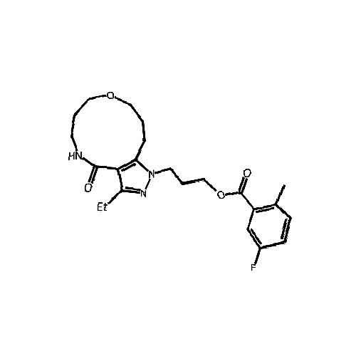 CCc1nn(CCCOC(=O)c2cc(F)ccc2C)c2c1C(=O)NCCCOCCC2